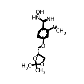 COc1cc(OC[C@@H]2COC(C)(C)O2)ccc1C(=N)NO